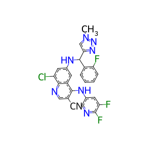 Cn1cc(C(Nc2cc(Cl)c3ncc(C#N)c(Nc4cnc(F)c(F)c4)c3c2)c2ccccc2F)nn1